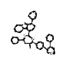 CC1=C(c2ccc(-c3ccccc3-c3ccccc3)cc2)N=C(c2ccc(-c3ccccc3)c3oc4ccccc4c23)N=C(c2ccccc2)C1